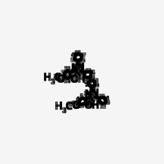 CCOc1ccc(-c2nc(-c3ccccc3)nc(-c3ccccc3)n2)c(O)c1.COc1ccc(-c2nc(-c3ccccc3)nc(-c3ccccc3)n2)c(O)c1